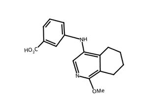 COc1ncc(Nc2cccc(C(=O)O)c2)c2c1CCCC2